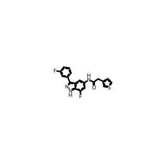 O=C(Cc1ccsc1)Nc1cc(F)c2[nH]nc(-c3cccc(F)c3)c2c1